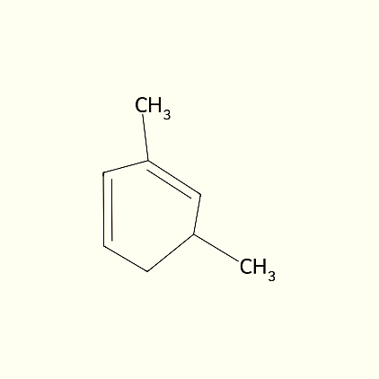 CC1=CC(C)CC=C1